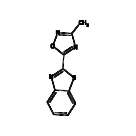 Cc1noc(-c2nc3ccccc3s2)n1